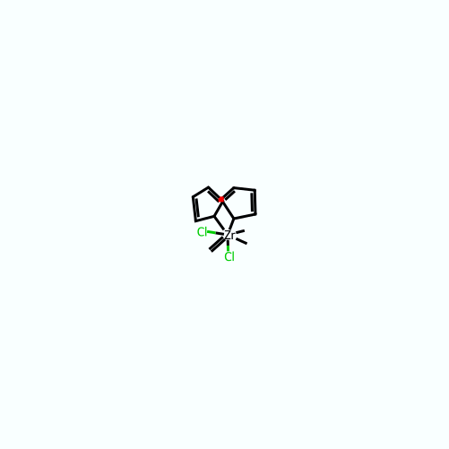 [CH2]=[Zr]([CH3])([CH3])([Cl])([Cl])([CH]1C=CC=C1)[CH]1C=CC=C1